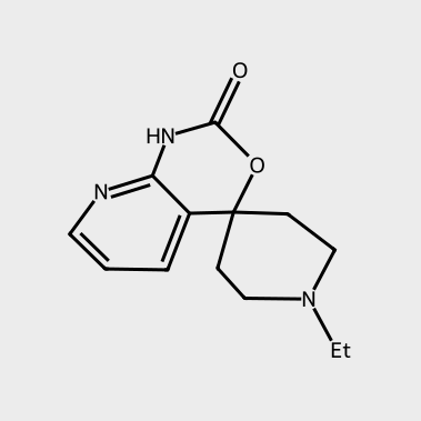 CCN1CCC2(CC1)OC(=O)Nc1ncccc12